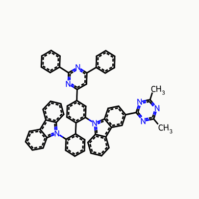 Cc1nc(C)nc(-c2ccc3c(c2)c2ccccc2n3-c2cc(-c3cc(-c4ccccc4)nc(-c4ccccc4)n3)ccc2-c2ccccc2-n2c3ccccc3c3ccccc32)n1